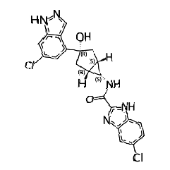 O=C(N[C@@H]1[C@@H]2C[C@@](O)(c3cc(Cl)cc4[nH]ncc34)C[C@@H]21)c1nc2cc(Cl)ccc2[nH]1